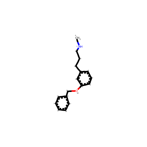 CNCCCc1cccc(OCc2ccccc2)c1